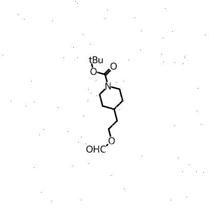 CC(C)(C)OC(=O)N1CCC(CCOC=O)CC1